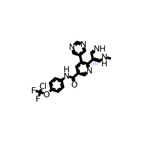 CN/C=C(\C=N)c1ncc(C(=O)Nc2ccc(OC(F)(F)Cl)cc2)cc1-c1cncnc1